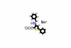 O=C([O-])c1sc(-c2ccccc2)cc1NCc1ccccc1.[Na+]